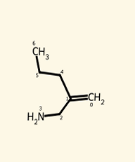 C=C(CN)CCC